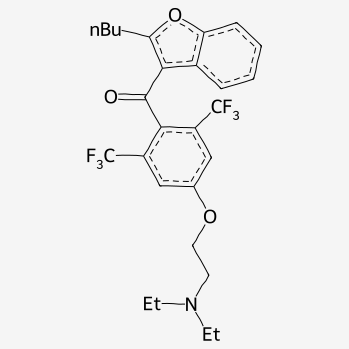 CCCCc1oc2ccccc2c1C(=O)c1c(C(F)(F)F)cc(OCCN(CC)CC)cc1C(F)(F)F